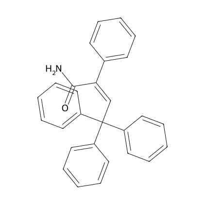 NC(=O)C(=CC(c1ccccc1)(c1ccccc1)c1ccccc1)c1ccccc1